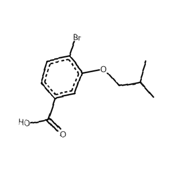 CC(C)COc1cc(C(=O)O)ccc1Br